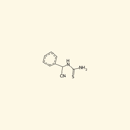 N#CC(NC(N)=S)c1ccccc1